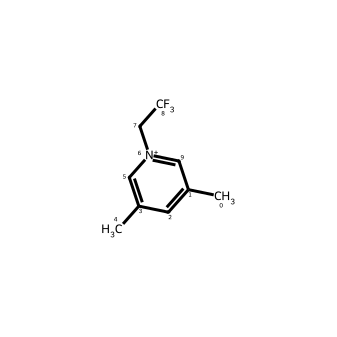 Cc1cc(C)c[n+](CC(F)(F)F)c1